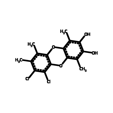 Cc1c(C)c2c(c(Cl)c1Cl)Oc1c(C)c(O)c(O)c(C)c1O2